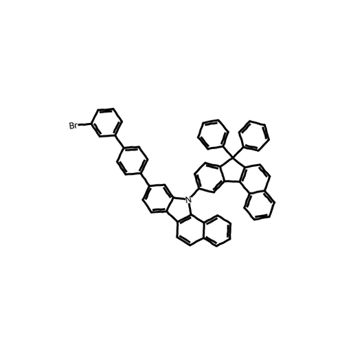 Brc1cccc(-c2ccc(-c3ccc4c5ccc6ccccc6c5n(-c5ccc6c(c5)-c5c(ccc7ccccc57)C6(c5ccccc5)c5ccccc5)c4c3)cc2)c1